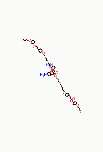 CCCCCOc1ccc(OC(=O)/C=C/c2ccc(OCCCCCCCCCCCOC(=O)C(Cc3ccc(N)cc3)(Cc3ccc(N)cc3)C(=O)OCCCCCCCCCCCOc3ccc(/C=C/C(=O)Oc4ccc(OCCCCC)cc4)cc3)cc2)cc1